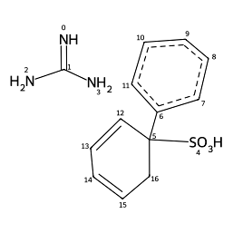 N=C(N)N.O=S(=O)(O)C1(c2ccccc2)C=CC=CC1